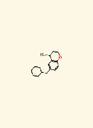 CC(C)(C)C1CCOc2ccc(CC3CCCCC3)cc21